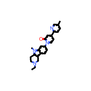 CCN1CCc2c(c3ccc(-n4ccc(-c5ccc(C)cn5)cc4=O)cc3n2C)C1